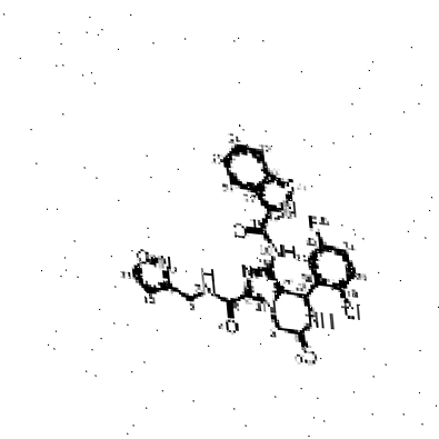 O=C1Cn2c(C(=O)NCc3ccon3)nc(NC(=O)c3nsc4ccccc34)c2C(c2cc(F)ccc2Cl)N1